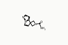 NC(=O)N1CC2(C=Cn3nccc32)C1